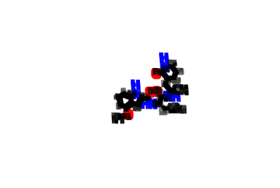 CC(C)Oc1cccc2[nH]c(C(=O)N[C@@H](CC(C)(C)C)C(=O)N[C@H](C#N)C[C@@H]3CCCNC3=O)cc12